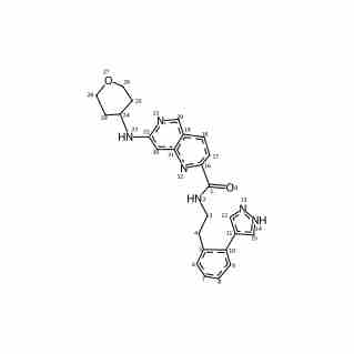 O=C(NCCc1ccccc1-c1cn[nH]c1)c1ccc2cnc(NC3CCOCC3)cc2n1